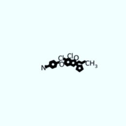 CCCCC1(C2CCCC2)Cc2cc(OCc3ccc(C#N)cc3)c(Cl)c(Cl)c2C1=O